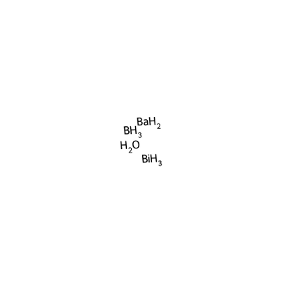 B.O.[BaH2].[BiH3]